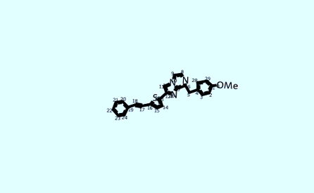 COc1ccc(Cc2nccn3[c]c(-c4ccc(C#Cc5ccccc5)s4)nc23)cc1